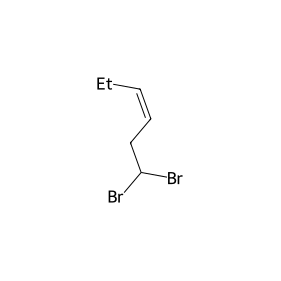 CC/C=C\CC(Br)Br